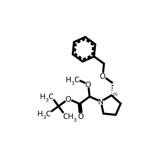 COC(C(=O)OC(C)(C)C)N1CCC[C@H]1COCc1ccccc1